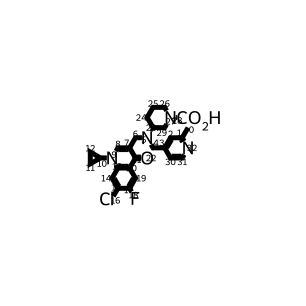 Cc1cc(CN(Cc2cn(C3CC3)c3cc(Cl)c(F)cc3c2=O)[C@H]2CCCN(C(=O)O)C2)ccn1